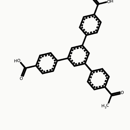 CC(=O)c1ccc(-c2cc(-c3ccc(C(=O)O)cc3)cc(-c3ccc(C(=O)O)cc3)c2)cc1